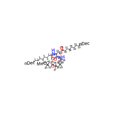 CCCCCCCCCCCCCCCCCC(=O)NC(COC(=O)CCCCCCCCCCCCCCCCC)C(=O)NC(C)(C)CC(C)(C)CC(C)(C)OCCC(C)(C)OC